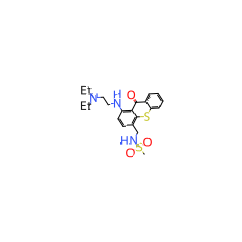 CCN(CC)CCNc1ccc(CNS(C)(=O)=O)c2sc3ccccc3c(=O)c12